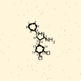 NC1=NN(c2ccccc2)C[C@@H]1c1ccc(Cl)c(Cl)c1